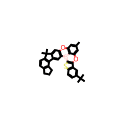 Cc1cc2c3c(c1)Oc1c(sc4ccc(C(C)(C)C)cc14)B3c1cc3c(cc1O2)C(C)(C)c1ccc2c(c1-3)CCC2